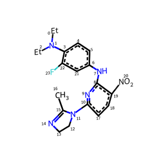 CCN(CC)c1ccc(Nc2nc(N3CCN=C3C)ccc2[N+](=O)[O-])cc1F